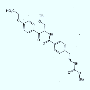 CC(C)(C)OC[C@H](NC(=O)c1ccc(C=NNC(=O)OC(C)(C)C)cc1)C(=O)c1ccc(OCC(=O)O)cc1